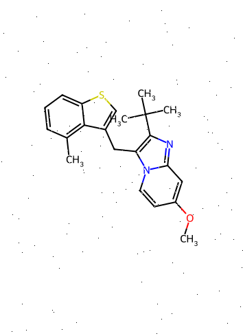 COc1ccn2c(Cc3csc4cccc(C)c34)c(C(C)(C)C)nc2c1